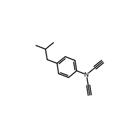 C#CN(C#C)c1ccc(CC(C)C)cc1